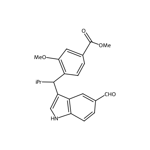 COC(=O)c1ccc(C(c2c[nH]c3ccc(C=O)cc23)C(C)C)c(OC)c1